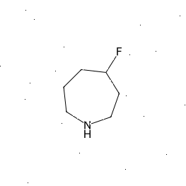 FC1CCCNCC1